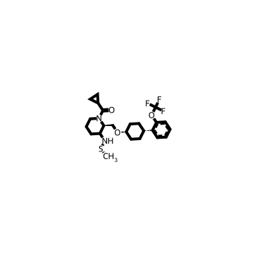 CSNC1CCCN(C(=O)C2CC2)[C@H]1CO[C@H]1CC[C@@H](c2ccccc2OC(F)(F)F)CC1